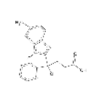 Cc1ccc2nc(C(O)(CCC(=O)O)c3ccccc3)n(C)c2c1